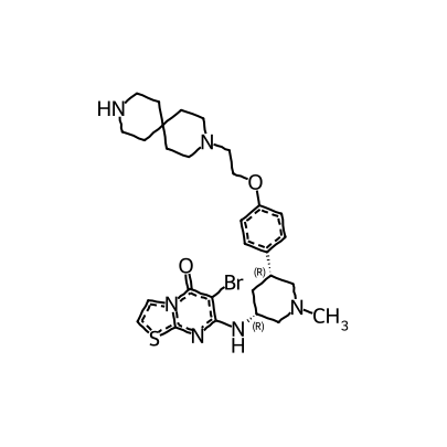 CN1C[C@H](Nc2nc3sccn3c(=O)c2Br)C[C@H](c2ccc(OCCN3CCC4(CCNCC4)CC3)cc2)C1